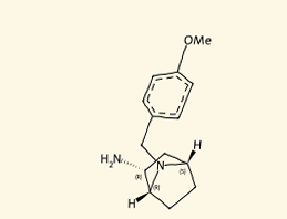 COc1ccc(CN2[C@H]3CC[C@@H]2[C@H](N)C3)cc1